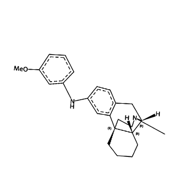 COc1cccc(Nc2ccc3c(c2)[C@@]24CCCC[C@H]2[C@@H](C3)N(C)CC4)c1